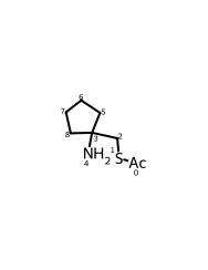 CC(=O)SCC1(N)CCCC1